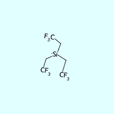 FC(F)(F)C[Si](CC(F)(F)F)CC(F)(F)F